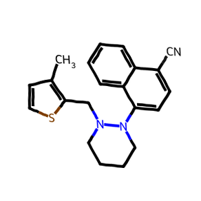 Cc1ccsc1CN1CCCCN1c1ccc(C#N)c2ccccc12